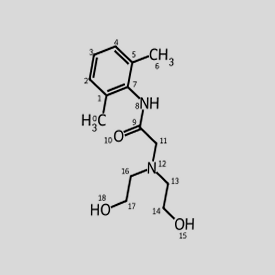 Cc1cccc(C)c1NC(=O)CN(CCO)CCO